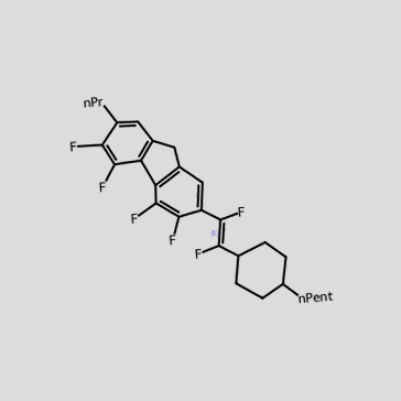 CCCCCC1CCC(/C(F)=C(\F)c2cc3c(c(F)c2F)-c2c(cc(CCC)c(F)c2F)C3)CC1